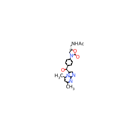 CC(=O)NC[C@H]1CN(c2ccc(C(=O)c3cnc4nc(C)cc(C)n34)cc2)C(=O)O1